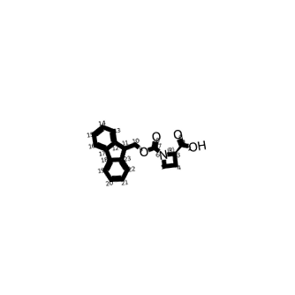 O=C(O)[C@H]1CCN1C(=O)OCC1c2ccccc2-c2ccccc21